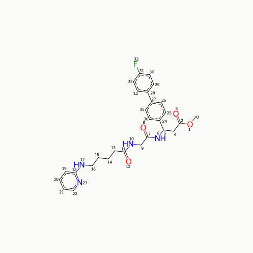 COC(=O)CC(NC(=O)CNC(=O)CCCCNc1ccccn1)c1ccc(-c2ccc(F)cc2)cc1